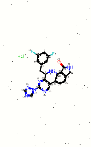 Cl.NC(Cc1cc(F)cc(F)c1)c1nc(-n2cncn2)ncc1-c1ccc2c(c1)C(=O)NC2